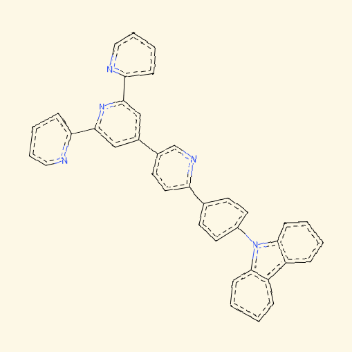 c1ccc(-c2cc(-c3ccc(-c4ccc(-n5c6ccccc6c6ccccc65)cc4)nc3)cc(-c3ccccn3)n2)nc1